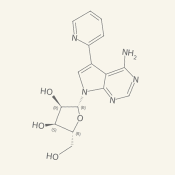 Nc1ncnc2c1c(-c1ccccn1)cn2[C@@H]1O[C@H](CO)[C@@H](O)[C@H]1O